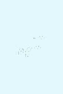 C=CCOC(=O)N1c2cc(OCCCC(=O)OC)c(OC)cc2C(=O)N2CCCC2C1O